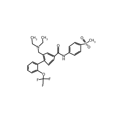 CCN(CC)Cc1cc(C(=O)Nc2ccc(S(C)(=O)=O)cc2)ccc1-c1ccccc1OC(F)(F)F